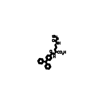 CC(C)(C)OC(=O)NCCC[C@H](NC(=O)c1ccc(C(c2ccccc2)c2ccccc2)cc1)C(=O)O